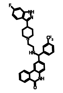 O=c1[nH]c2ccc(C(NCCN3CCC(c4n[nH]c5cc(F)ccc45)CC3)c3cccc(C(F)(F)F)c3)cc2c2ccccc12